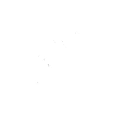 CC[N+]1(Cc2ccccc2)C=C(NC2CCCOC2)C=N1